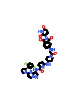 O=C1CCC(N2C(=O)c3ccc(NCC(=O)N4CCC(Nc5cccc(C(=O)Nc6cnn7ccc(N8CCC[C@@H]8c8cc(F)ccc8F)nc67)n5)CC4)cc3C2=O)C(=O)N1